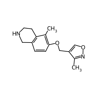 Cc1nocc1COc1ccc2c(c1C)CCNC2